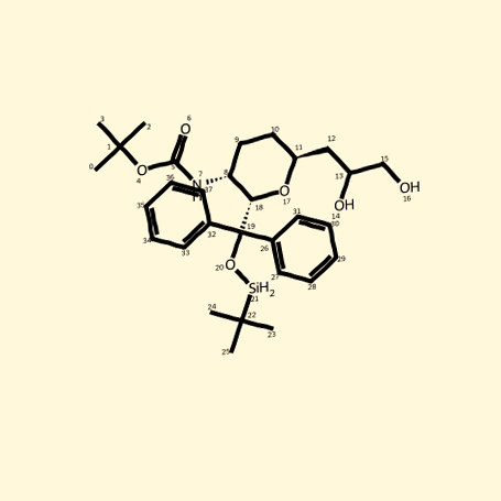 CC(C)(C)OC(=O)N[C@@H]1CC[C@@H](CC(O)CO)O[C@@H]1C(O[SiH2]C(C)(C)C)(c1ccccc1)c1ccccc1